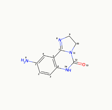 Nc1ccc2c(c1)C1=NCCN1C(=O)N2